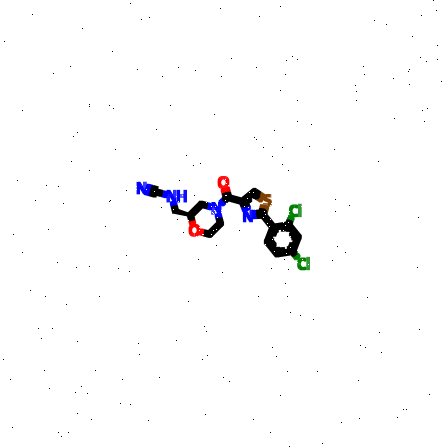 N#CNC[C@H]1CN(C(=O)c2csc(-c3ccc(Cl)cc3Cl)n2)CCO1